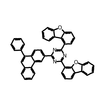 c1ccc(-c2cc3ccccc3c3cc(-c4nc(-c5cccc6c5oc5ccccc56)nc(-c5cccc6oc7ccccc7c56)n4)ccc23)cc1